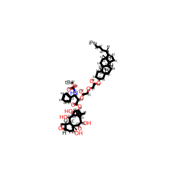 CC(=O)O[C@@]12CO[C@@H]1C[C@H](O)[C@@]1(C)C(=O)[C@H](O)C3=C(C)[C@@H](OC(=O)[C@H](OC(=O)COCC(=O)O[C@H]4CC[C@@]5(C)C(=CC[C@H]6[C@@H]7CC[C@H]([C@H](C)CCCC(C)C)[C@@]7(C)CC[C@@H]65)C4)[C@@H](NC(=O)OC(C)(C)C)c4ccccc4)C[C@@](O)([C@@H](O)C12)C3(C)C